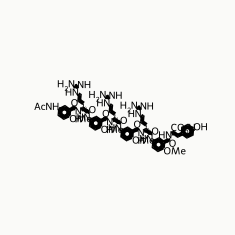 COc1ccc(NC(=O)[C@@H](CCCNC(=N)N)NC(=O)c2cc(NC(=O)[C@@H](CCCNC(=N)N)NC(=O)c3cc(NC(=O)[C@@H](CCCNC(=N)N)NC(=O)c4cc(NC(C)=O)ccc4OC)ccc3OC)ccc2OC)cc1C(=O)N[C@@H](Cc1ccc(O)cc1)C(=O)O